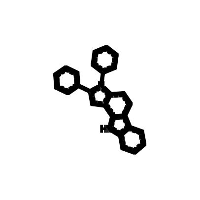 c1ccc(-c2cc3c4[nH]c5ccccc5c4ccc3n2-c2ccccc2)cc1